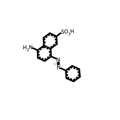 Nc1ccc(/N=N/c2ccccc2)c2cc(S(=O)(=O)O)ccc12